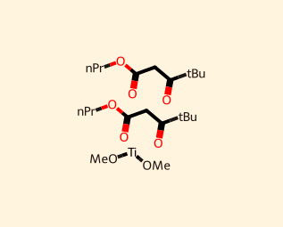 CCCOC(=O)CC(=O)C(C)(C)C.CCCOC(=O)CC(=O)C(C)(C)C.C[O][Ti][O]C